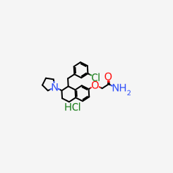 Cl.NC(=O)COc1ccc2c(c1)C(Cc1cccc(Cl)c1)C(N1CCCC1)CC2